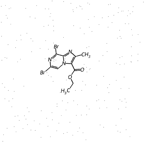 CCOC(=O)c1c(C)nc2c(Br)nc(Br)cn12